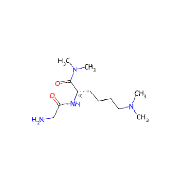 CN(C)CCCC[C@H](NC(=O)CN)C(=O)N(C)C